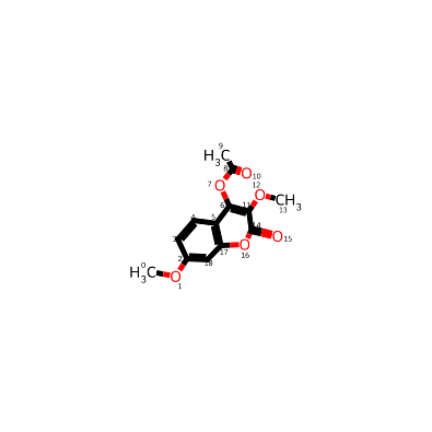 COc1ccc2c(OC(C)=O)c(OC)c(=O)oc2c1